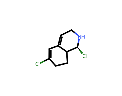 ClC1=CC2=CCN[C@@H](Cl)C2CC1